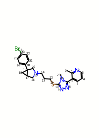 Cc1ncccc1-c1nnc(SCCCN2CC3CC3(c3ccc(Br)cc3)C2)n1C